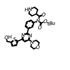 CC(C)(C)OC(=O)N(C(=O)C1CCNCC1)c1cccc(-c2nc(-c3ccc(CO)s3)cc(N3CCOCC3)n2)c1